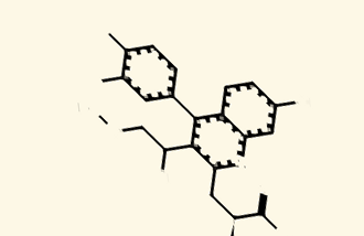 COCC(C)c1c(C[C@H](C)C(=O)O)nc2cc(O)ccc2c1-c1ccc(F)c(C)c1